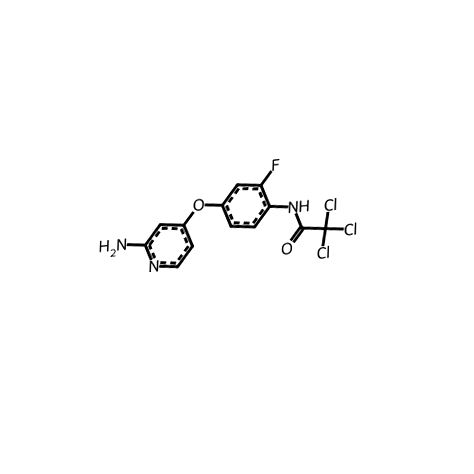 Nc1cc(Oc2ccc(NC(=O)C(Cl)(Cl)Cl)c(F)c2)ccn1